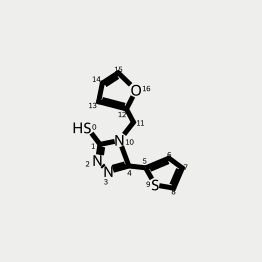 Sc1nnc(-c2cccs2)n1Cc1ccco1